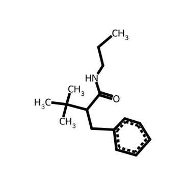 CCCNC(=O)C(Cc1ccccc1)C(C)(C)C